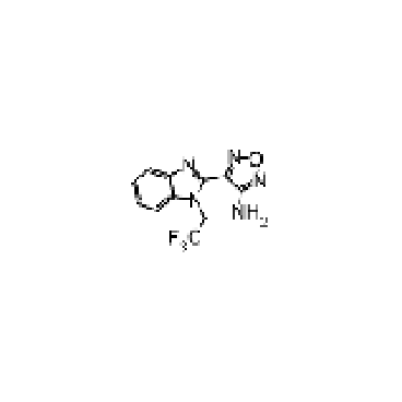 Nc1nonc1-c1nc2ccccc2n1CC(F)(F)F